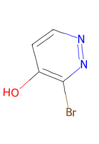 Oc1ccnnc1Br